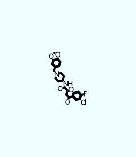 O=C(NC1CCN(Cc2ccc3c(c2)OCO3)CC1)c1cc(=O)c2cc(Cl)c(F)cc2o1